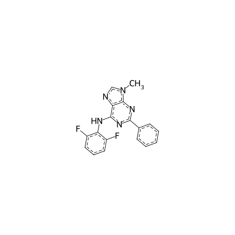 Cn1cnc2c(Nc3c(F)cccc3F)nc(-c3ccccc3)nc21